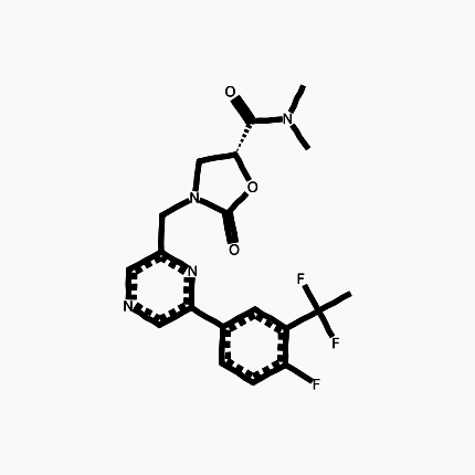 CN(C)C(=O)[C@H]1CN(Cc2cncc(-c3ccc(F)c(C(C)(F)F)c3)n2)C(=O)O1